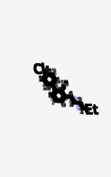 CC/C=C/C=C/c1cccc(-c2ccc(Cl)cc2)c1C